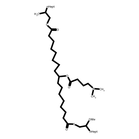 CCCCCCCC(C)CSC(=O)CCCCCCCC(CCCCCCCC(=O)SCC(CCCCCCC)OC)OC(=O)CCCN(C)C